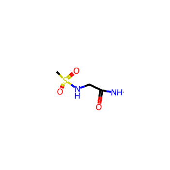 CS(=O)(=O)NCC([NH])=O